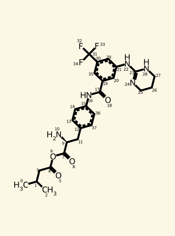 CC(C)CC(=O)OC(=O)[C@@H](N)Cc1ccc(NC(=O)c2cc(NC3=NCCCN3)cc(C(F)(F)F)c2)cc1